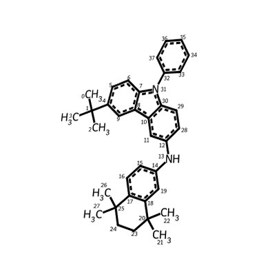 CC(C)(C)c1ccc2c(c1)c1cc(Nc3ccc4c(c3)C(C)(C)CCC4(C)C)ccc1n2-c1ccccc1